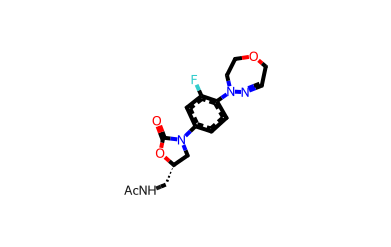 CC(=O)NC[C@H]1CN(c2ccc(N3CCOCC=N3)c(F)c2)C(=O)O1